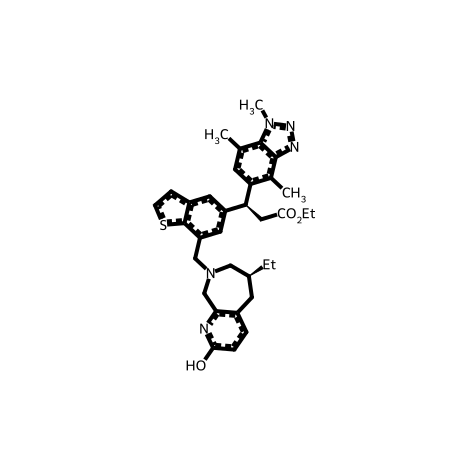 CCOC(=O)C[C@@H](c1cc(CN2Cc3nc(O)ccc3C[C@H](CC)C2)c2sccc2c1)c1cc(C)c2c(nnn2C)c1C